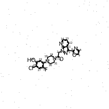 O=C(Cn1nc(-c2ncco2)c2cccnc21)N1CCN(c2cc(O)c(Cl)cc2F)CC1